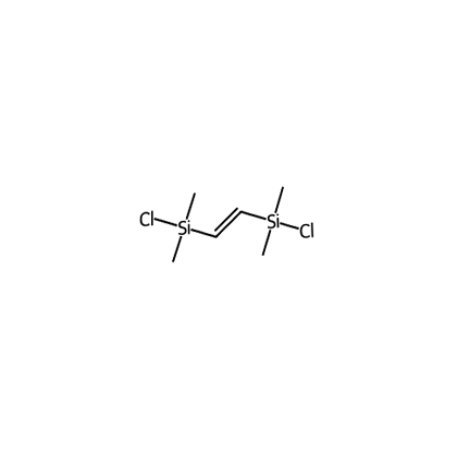 C[Si](C)(Cl)C=C[Si](C)(C)Cl